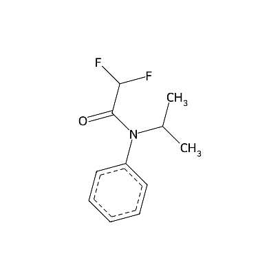 CC(C)N(C(=O)C(F)F)c1ccccc1